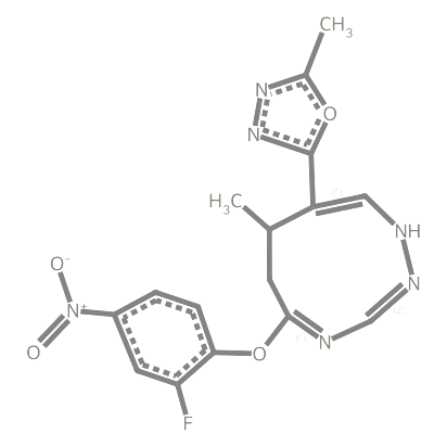 Cc1nnc(/C2=C/N/N=C\N=C(\Oc3ccc([N+](=O)[O-])cc3F)CC2C)o1